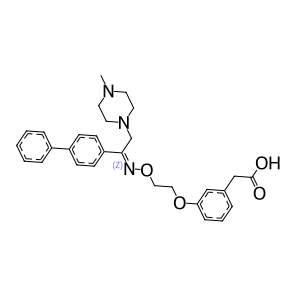 CN1CCN(C/C(=N\OCCOc2cccc(CC(=O)O)c2)c2ccc(-c3ccccc3)cc2)CC1